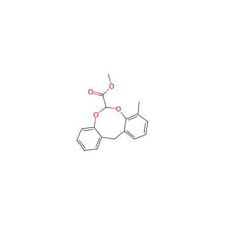 COC(=O)C1Oc2ccccc2Cc2cccc(C)c2O1